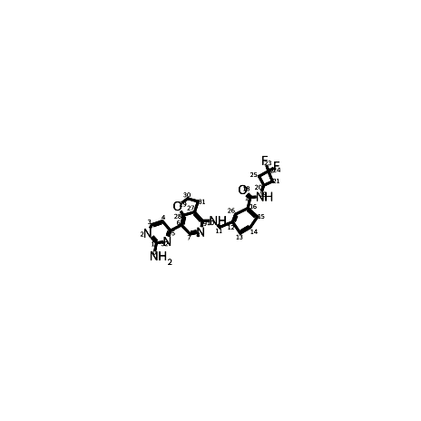 Nc1nccc(-c2cnc(NCc3cccc(C(=O)NC4CC(F)(F)C4)c3)c3c2OCC3)n1